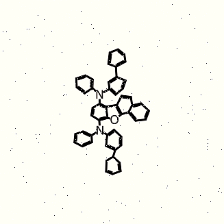 C1=CCC(c2cccc(N(c3ccccc3)c3ccc(N(c4ccccc4)c4cccc(-c5ccccc5)c4)c4c3oc3c5ccccc5ccc34)c2)C=C1